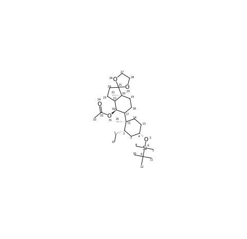 CC[C@H]1C[C@@H](O[Si](C)(C)C(C)(C)C)CC[C@]1(C)C1CC[C@@]2(C)C(CCC23OCCO3)[C@@H]1OC(C)=O